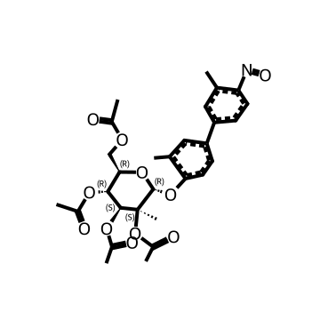 CC(=O)OC[C@H]1O[C@H](Oc2ccc(-c3ccc(N=O)c(C)c3)cc2C)[C@@](C)(OC(C)=O)[C@@H](OC(C)=O)[C@@H]1OC(C)=O